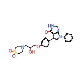 O=c1[nH]cnc2c1c(-c1ccc(OCC(O)CN3CCS(=O)(=O)CC3)cc1)cn2-c1ccccc1